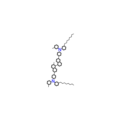 CCCCCCCCc1cccc(N(c2ccc(-c3ccc4c(-c5c(C)ccc6cc(-c7ccc(N(c8cccc(C)c8)c8cccc(CCCCCCCC)c8)cc7)ccc56)cccc4c3)cc2)c2cccc(C)c2)c1